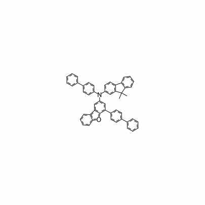 CC1(C)c2ccccc2-c2ccc(N(c3ccc(-c4ccccc4)cc3)c3cc(-c4ccc(-c5ccccc5)cc4)c4oc5ccccc5c4c3)cc21